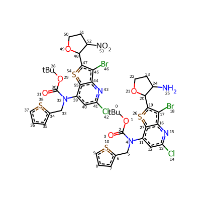 CC(C)(C)OC(=O)N(Cc1cccs1)c1cc(Cl)nc2c(Br)c(C3OCCC3N)sc12.CC(C)(C)OC(=O)N(Cc1cccs1)c1cc(Cl)nc2c(Br)c(C3OCCC3[N+](=O)[O-])sc12